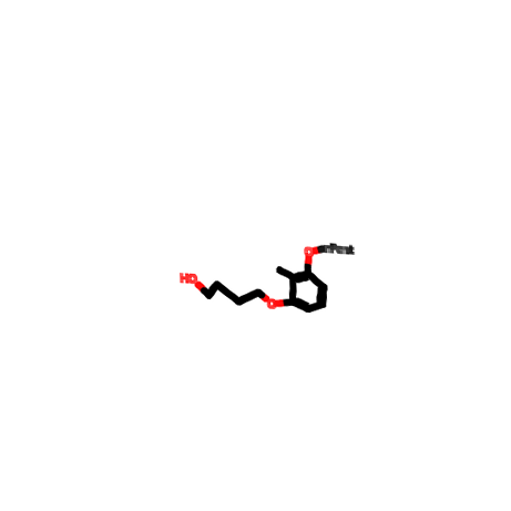 CCCCCOc1cccc(OCCCCO)c1C